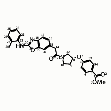 COC(=O)c1ccc(O[C@@H]2CCN(C(=O)Cc3ccc4nc(Nc5ccccc5C)oc4c3)C2)cc1